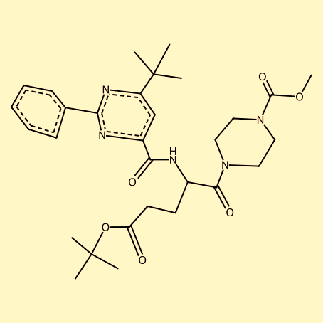 COC(=O)N1CCN(C(=O)C(CCC(=O)OC(C)(C)C)NC(=O)c2cc(C(C)(C)C)nc(-c3ccccc3)n2)CC1